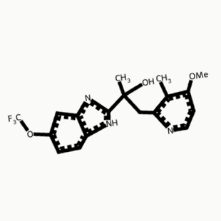 COc1ccnc(CC(C)(O)c2nc3cc(OC(F)(F)F)ccc3[nH]2)c1C